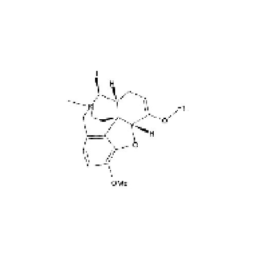 COc1ccc2c3c1O[C@H]1C(OC(C)(C)C)=CC[C@H]4[C@@H](C2)N(C)CC[C@]314